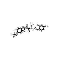 NC(COCc1ccc(F)cc1F)C(=O)Nc1nc2ccc(OC(F)(F)F)cc2s1